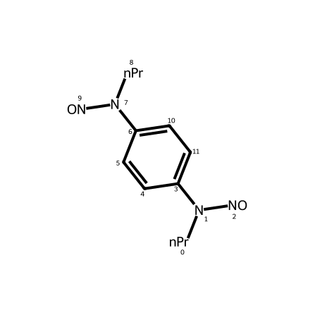 CCCN(N=O)c1ccc(N(CCC)N=O)cc1